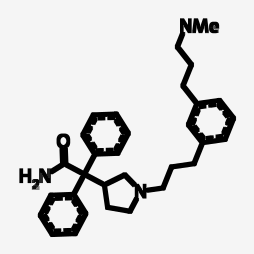 CNCCCc1cccc(CCCN2CCC(C(C(N)=O)(c3ccccc3)c3ccccc3)C2)c1